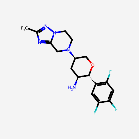 N[C@H]1C[C@@H](N2CCn3nc(C(F)(F)F)nc3C2)CO[C@@H]1c1cc(F)c(F)cc1F